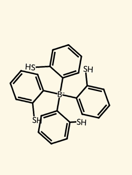 Sc1ccccc1[B-](c1ccccc1S)(c1ccccc1S)c1ccccc1S